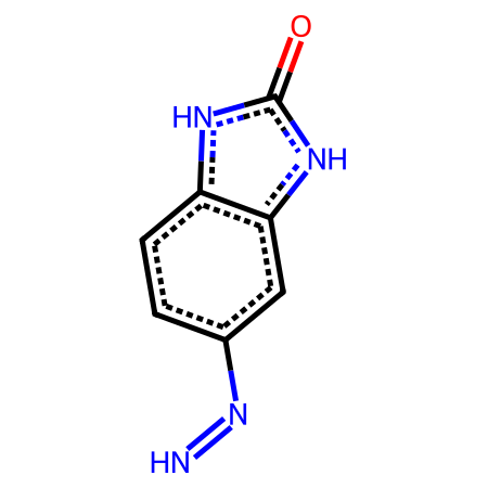 N=Nc1ccc2[nH]c(=O)[nH]c2c1